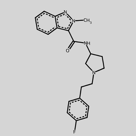 Cn1nc2ccccc2c1C(=O)NC1CCN(CCc2ccc(F)cc2)C1